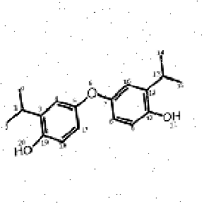 CC(C)c1cc(Oc2ccc(O)c(C(C)C)c2)ccc1O